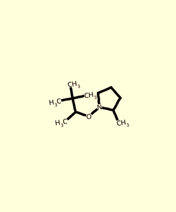 CC1CCCN1OC(C)C(C)(C)C